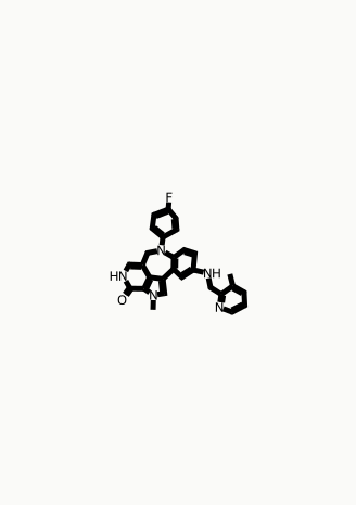 Cc1cccnc1CNc1ccc2c(c1)-c1cn(C)c3c(=O)[nH]cc(c13)CN2c1ccc(F)cc1